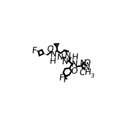 Cc1nonc1C(=O)N[C@H](c1cn2ccc([C@H](NC(=O)C[C@H]3C[C@H](F)C3)C3CC3)nc2n1)C1CCC(F)(F)CC1